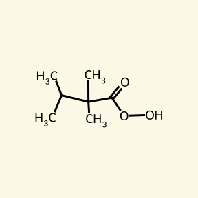 CC(C)C(C)(C)C(=O)OO